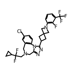 Fc1c(N2CC3(CC(c4nnc5n4-c4ccc(Cl)cc4CN(CC(F)(F)C4CC4)C5)C3)C2)cccc1C(F)(F)F